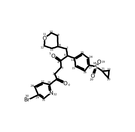 O=C(CCC(=O)C(CC1CCOCC1)c1ccc(S(=O)(=O)C2CC2)cc1)c1ccc(Br)cn1